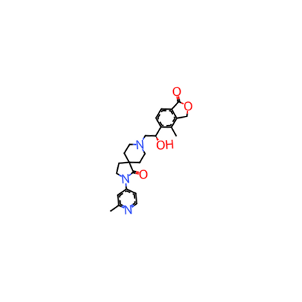 Cc1cc(N2CCC3(CCN(C[C@H](O)c4ccc5c(c4C)COC5=O)CC3)C2=O)ccn1